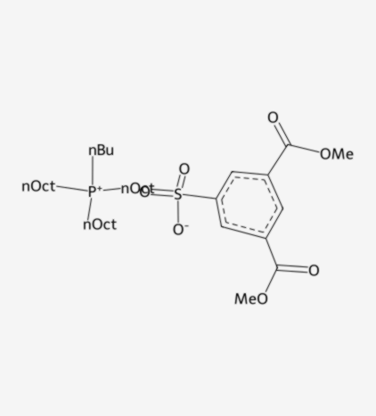 CCCCCCCC[P+](CCCC)(CCCCCCCC)CCCCCCCC.COC(=O)c1cc(C(=O)OC)cc(S(=O)(=O)[O-])c1